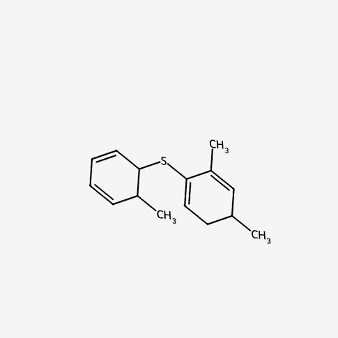 CC1=CC(C)CC=C1SC1C=CC=CC1C